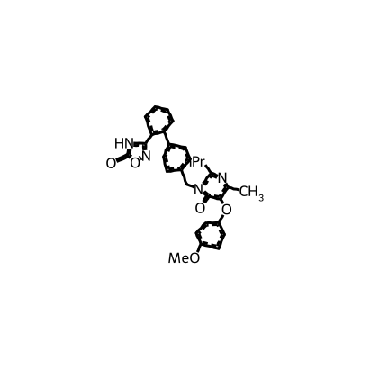 CCCc1nc(C)c(Oc2ccc(OC)cc2)c(=O)n1Cc1ccc(-c2ccccc2-c2noc(=O)[nH]2)cc1